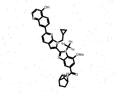 [2H]C([2H])([2H])n1c(-c2cc3ccc(-c4ccc5c(O)ccnc5c4)nc3n2CC2CC2)nc2cc(C(=O)N3CC4CCC3[C@@H]4N)cc(OC)c21